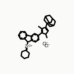 CC1=C(c2ccc3c(c2)-c2ccccc2[CH]3[Zr+2]=[C]2CCCCC2)C(C)C=C1C12CC3CC(CC(C3)C1)C2.[Cl-].[Cl-]